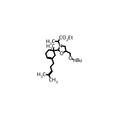 CCCCOCC1CN(C(C)C(=O)OCC)C(C2(C)CCC=C(CCC=C(C)C)C2)O1